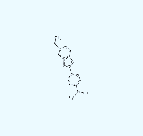 COc1ccc2cc(-c3ccc(N(C)C)cc3)sc2c1